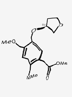 CNc1cc(OC)c(O[C@H]2CCOC2)cc1C(=O)OC